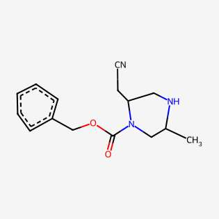 CC1CN(C(=O)OCc2ccccc2)C(CC#N)CN1